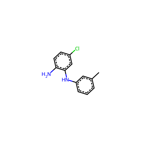 Cc1cccc(Nc2cc(Cl)ccc2N)c1